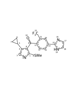 CSc1noc(C2CC2)c1C(=O)c1ccc(-c2ncc[nH]2)cc1C(F)(F)F